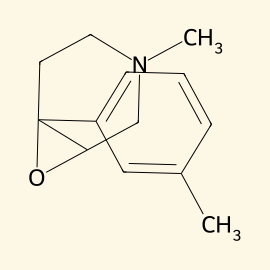 Cc1cccc(C23CCN(C)CC2O3)c1